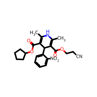 CC1=C(C(=O)OCCC#N)C(c2ccccc2[N+](=O)[O-])C(C(=O)OC2CCCC2)=C(C)N1